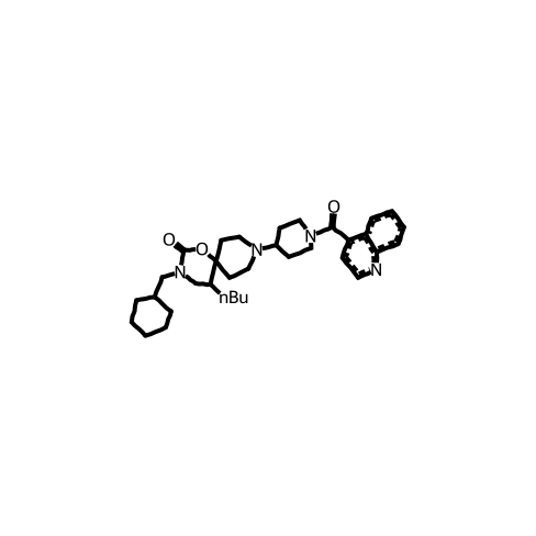 CCCCC1CN(CC2CCCCC2)C(=O)OC12CCN(C1CCN(C(=O)c3ccnc4ccccc34)CC1)CC2